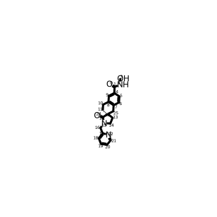 O=C(NO)c1ccc2c(c1)CC[C@@]1(CCN(Cc3ccccn3)C1=O)C2